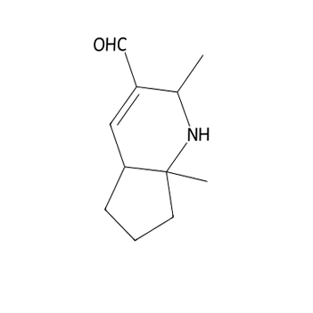 CC1NC2(C)CCCC2C=C1C=O